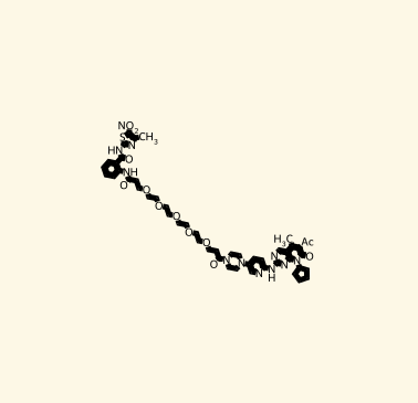 CC(=O)c1c(C)c2cnc(Nc3ccc(N4CCN(C(=O)CCOCCOCCOCCOCCOCCC(=O)Nc5ccccc5C(=O)Nc5nc(C)c([N+](=O)[O-])s5)CC4)cn3)nc2n(C2CCCC2)c1=O